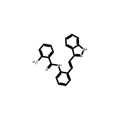 Cc1ccccc1C(=O)Nc1ccccc1/C=C/c1n[nH]c2ccccc12